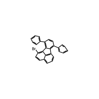 Brc1ccc2cccc3c2c1-c1c(-c2ccccc2)ccc(-c2ccccc2)c1-3